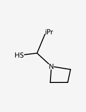 CC(C)C(S)N1CCC1